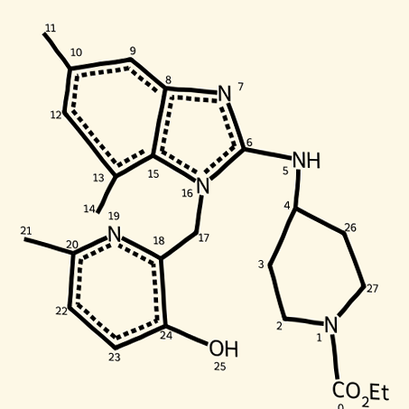 CCOC(=O)N1CCC(Nc2nc3cc(C)cc(C)c3n2Cc2nc(C)ccc2O)CC1